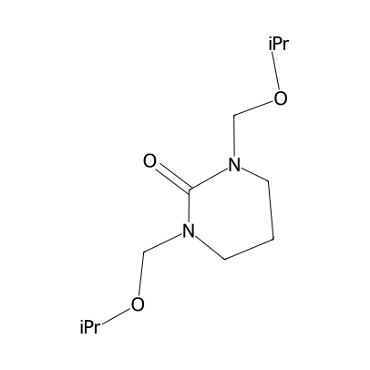 CC(C)OCN1CCCN(COC(C)C)C1=O